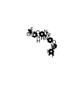 C=C(F)C(=O)N1CCC(Nc2cc3c(Nc4ccc(Oc5ccn(-c6cnc(C)c(F)c6)n5)cc4F)ncnc3cc2OC)CC1